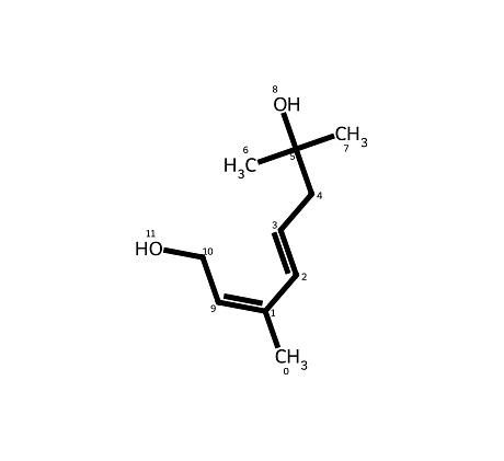 CC(C=CCC(C)(C)O)=CCO